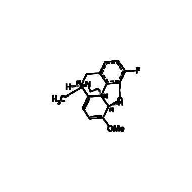 COC1=CC=C2[C@H]3Cc4ccc(F)c5c4[C@@]2(CCN3C)[C@H]1O5